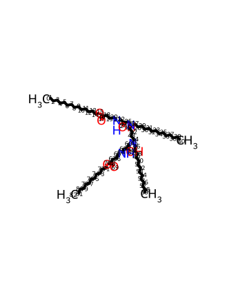 CCCCCCCCCCCCCCCOC(=O)CCCNCC(O)CN(CCCCCCCCCCCCCC)CCCCN(CCCCCCCCCCCCCC)CC(O)CNCCCC(=O)OCCCCCCCCCCCC